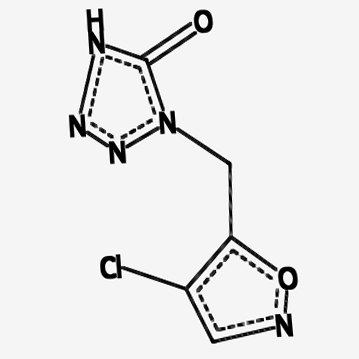 O=c1[nH]nnn1Cc1oncc1Cl